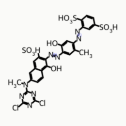 Cc1cc(/N=N/c2c(S(=O)(=O)O)cc3cc(N(C)c4nc(Cl)nc(Cl)n4)ccc3c2O)c(O)cc1/N=N/c1cc(S(=O)(=O)O)ccc1S(=O)(=O)O